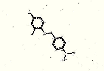 Cc1cc(Cl)ccc1OCc1ccc(B(O)O)cc1